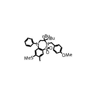 CCCCC1(CCCC)CN(c2ccccc2)c2cc(SC)c(C)cc2S(=O)(=O)N1Cc1ccc(OC)cc1